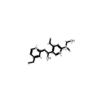 CCc1ccnc(CC(O)c2cnc(N(C)CO)cc2CC)c1